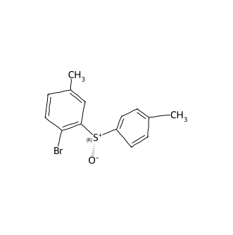 Cc1ccc([S@+]([O-])c2cc(C)ccc2Br)cc1